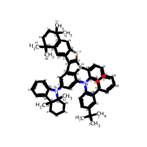 CC(C)(C)c1ccc(N2c3ccccc3B3c4sc5cc6c(cc5c4-c4cc(N5c7ccccc7C7(C)CCCCC57C)cc2c43)C(C)(C)CCC6(C)C)c(-c2ccccc2)c1